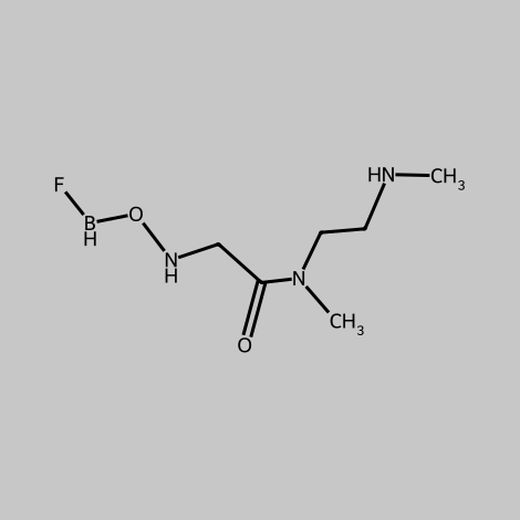 CNCCN(C)C(=O)CNOBF